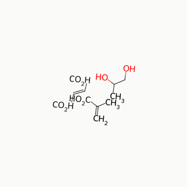 C=C(C)C(=O)O.CC(O)CO.O=C(O)C=CC(=O)O